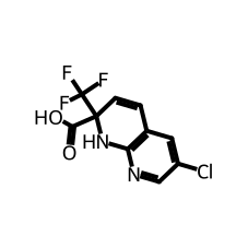 O=C(O)C1(C(F)(F)F)C=Cc2cc(Cl)cnc2N1